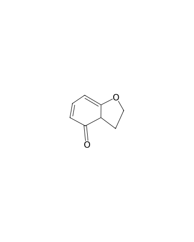 O=C1C=CC=C2OCCC12